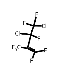 FC(F)=C(C(F)(F)F)C(F)(Cl)C(F)(F)Cl